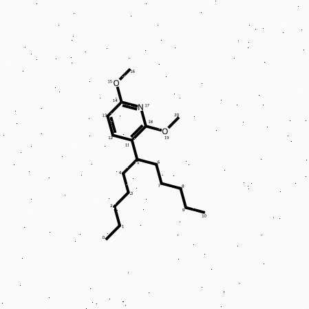 CCCCCC(CCCCC)c1ccc(OC)nc1OC